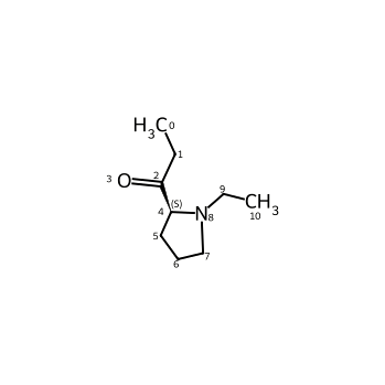 CCC(=O)[C@@H]1CCCN1CC